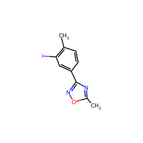 Cc1nc(-c2ccc(C)c(I)c2)no1